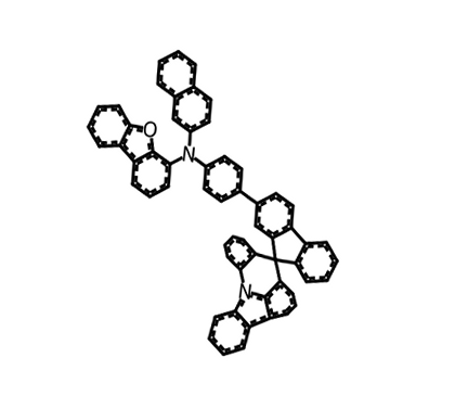 c1ccc2c(c1)-c1ccc(-c3ccc(N(c4ccc5ccccc5c4)c4cccc5c4oc4ccccc45)cc3)cc1C21c2ccccc2-n2c3ccccc3c3cccc1c32